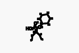 CCN(CC)P(=O)(O)OC1CCCCC1